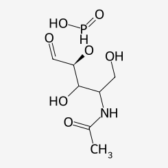 CC(=O)NC(CO)C(O)[C@@H](C=O)O[PH](=O)O